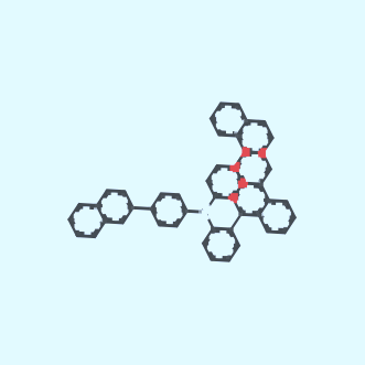 c1ccc(N(c2ccc(-c3ccc4ccccc4c3)cc2)c2ccc(-c3cccc4ccccc34)cc2)c(-c2cc3ccccc3c3ccccc23)c1